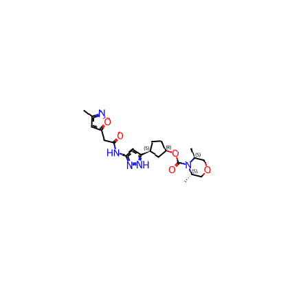 Cc1cc(CC(=O)Nc2cc([C@H]3CC[C@@H](OC(=O)N4[C@@H](C)COC[C@@H]4C)C3)[nH]n2)on1